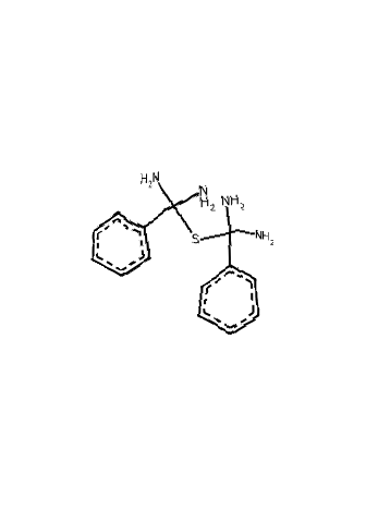 NC(N)(SC(N)(N)c1ccccc1)c1ccccc1